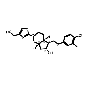 Cc1cc(OC[C@@H]2[C@H]3CC[C@H](c4nc(CO)cs4)O[C@H]3C[C@H]2O)ccc1Cl